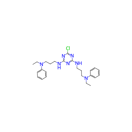 CCN(CCCNc1nc(Cl)nc(NCCCN(CC)c2ccccc2)n1)c1ccccc1